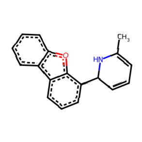 CC1=CC=CC(c2cccc3c2oc2ccccc23)N1